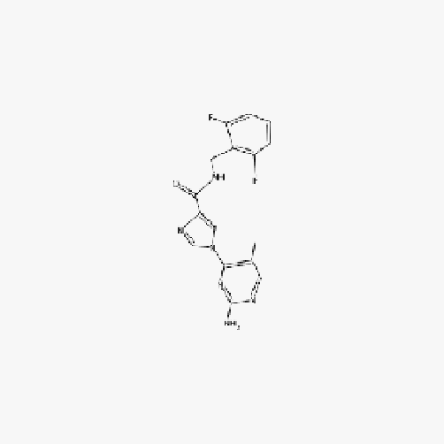 Cc1cnc(N)nc1-n1cnc(C(=O)NCc2c(F)cccc2F)c1